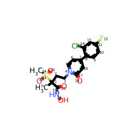 CC(CCn1ccc(-c2ccc(F)cc2Cl)cc1=O)(C(=O)NO)S(C)(=O)=O